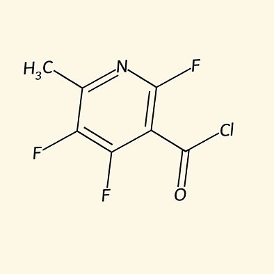 Cc1nc(F)c(C(=O)Cl)c(F)c1F